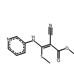 COC(=O)/C(C#N)=C(/Nc1cccnc1)SC